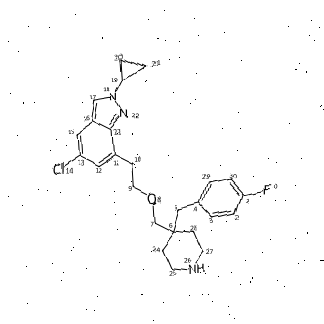 Fc1ccc(CC2(COCCc3cc(Cl)cc4cn(C5CC5)nc34)CCNCC2)cc1